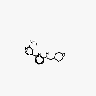 Nc1cc(-c2cccc(NCC3CCOCC3)n2)ccn1